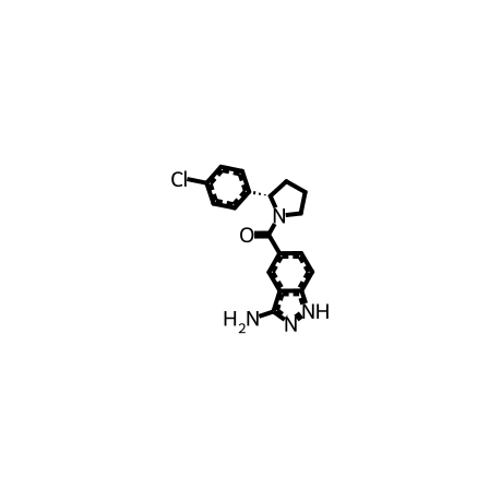 Nc1n[nH]c2ccc(C(=O)N3CCC[C@H]3c3ccc(Cl)cc3)cc12